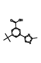 Cc1nc(-c2cc(C(=O)O)cc(C(C)(C)C)c2)cs1